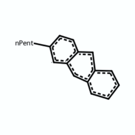 CCCCCc1[c]c2cc3ccccc3cc2cc1